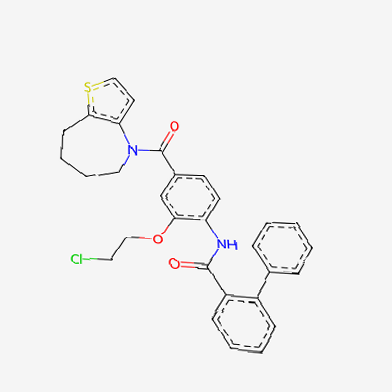 O=C(Nc1ccc(C(=O)N2CCCCc3sccc32)cc1OCCCl)c1ccccc1-c1ccccc1